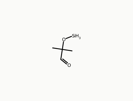 CC(C)(C=O)O[SiH3]